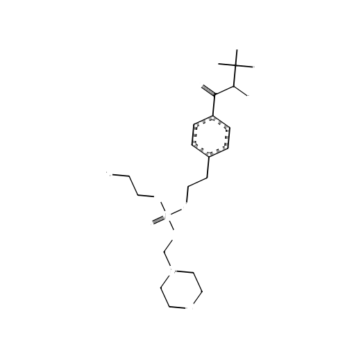 NCCOP(=O)(OCCc1ccc(C(=O)C(F)C(F)(F)F)cc1)OCN1CCOCC1